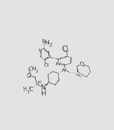 COC[C@@H](C)N[C@H]1CC[C@H](N(C[C@H]2CCCOC2)c2ccc(Cl)c(-c3cc(N)ncc3Cl)n2)CC1